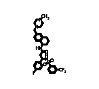 CN1CCN(Cc2ccc3c(c2)CCCC3NC(=O)CC(NS(=O)(=O)c2cccc(C(F)(F)F)c2)c2ccc(F)cc2)CC1